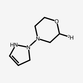 [2H]C1CN(N2CC=CN2)CCO1